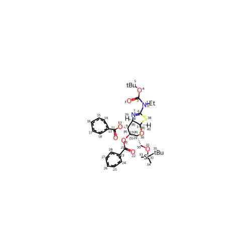 CCN(C(=O)OC(C)(C)C)C1=N[C@@H]2[C@@H](OC(=O)c3ccccc3)[C@H](OC(=O)c3ccccc3)[C@@H](CO[Si](C)(C)C(C)(C)C)O[C@@H]2S1